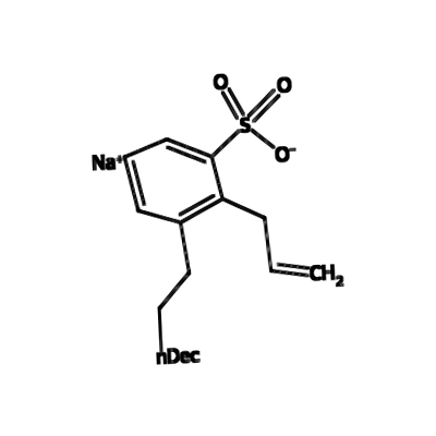 C=CCc1c(CCCCCCCCCCCC)cccc1S(=O)(=O)[O-].[Na+]